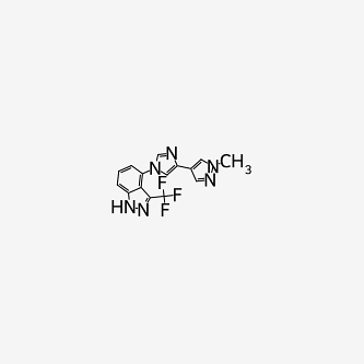 Cn1cc(-c2cn(-c3cccc4[nH]nc(C(F)(F)F)c34)cn2)cn1